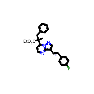 CCOC(=O)C(C)(Cc1ccccc1)c1ccnc2c(/C=C/c3ccc(F)cc3)cnn12